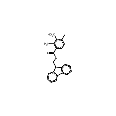 Cc1ccc(C(=O)OCC2c3ccccc3-c3ccccc32)c(N)c1C(=O)O